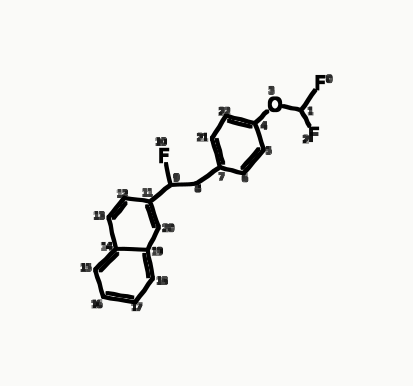 FC(F)Oc1ccc(CC(F)c2ccc3ccccc3c2)cc1